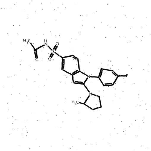 CC(=O)NS(=O)(=O)c1ccc2c(c1)cc(N1CCCC1C)n2-c1ccc(F)cc1